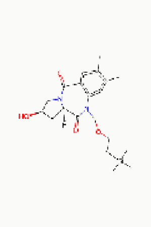 Cc1cc2c(cc1C)N(COCC[Si](C)(C)C)C(=O)[C@@H]1C[C@@H](O)CN1C2=O